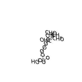 CN(Cc1cc(OCCOCCOCCOc2ccc([C@@H]3c4ccc(O)cc4OC[C@@H]3c3ccccc3)cc2)ccc1C=O)C(C=O)CCC=O